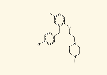 Cc1ccc(OCCN2CCN(C)CC2)c(Cc2ccc(Cl)cc2)c1